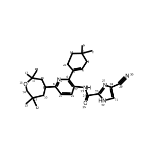 CC1(C)CC=C(c2nc(C3CC(C)(C)COC(C)(C)C3)ccc2NC(=O)c2nc(C#N)c[nH]2)CC1